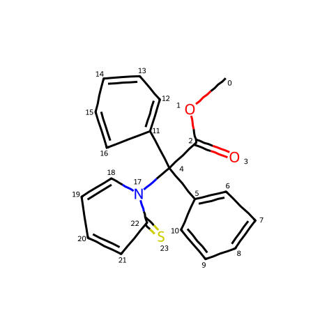 COC(=O)C(c1ccccc1)(c1ccccc1)n1ccccc1=S